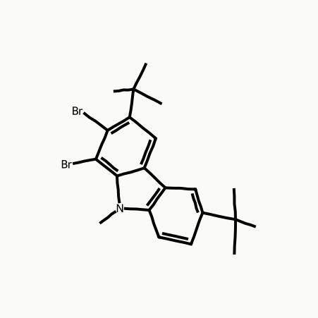 Cn1c2ccc(C(C)(C)C)cc2c2cc(C(C)(C)C)c(Br)c(Br)c21